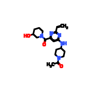 C=Cc1nc(NC2CCN(C(C)=O)CC2)cc(C(=O)N2CCCC(O)C2)n1